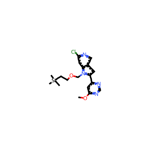 COc1cc(-c2cc3cnc(Cl)cc3n2COCC[Si](C)(C)C)ncn1